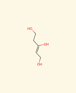 OCC=C(O)CCO